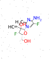 C#CC1(O)[C@@H](F)[C@@H](CO)O[C@H]1N1C=C(F)C(N)=NC1=C